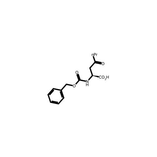 CCCC(=O)C[C@H](NC(=O)OCc1ccccc1)C(=O)O